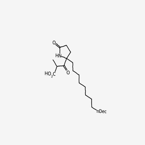 CCCCCCCCCCCCCCCCCCC1(C(=O)C(C)C(=O)O)CCC(=O)N1